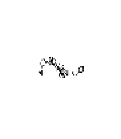 COc1ccc(Cn2cc(C)c(SCc3cc(-c4cccc(C#N)c4)no3)nc2=O)cc1